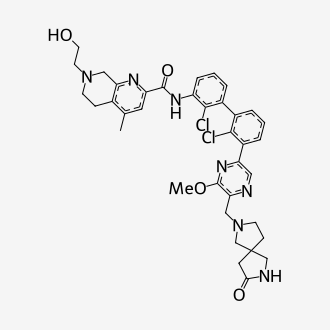 COc1nc(-c2cccc(-c3cccc(NC(=O)c4cc(C)c5c(n4)CN(CCO)CC5)c3Cl)c2Cl)cnc1CN1CCC2(CNC(=O)C2)C1